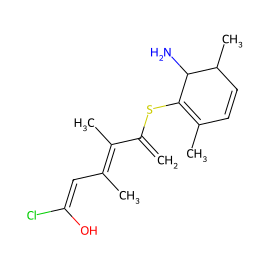 C=C(SC1=C(C)C=CC(C)C1N)/C(C)=C(C)/C=C(\O)Cl